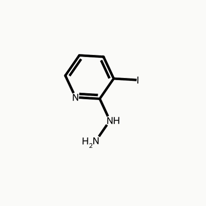 NNc1ncccc1I